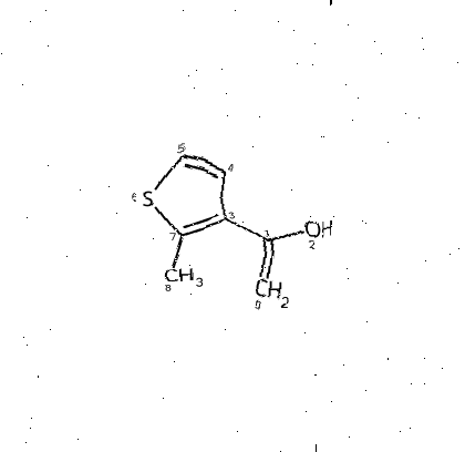 C=C(O)c1ccsc1C